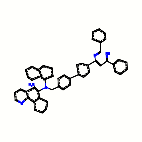 N=C(/C=C(\N=C\c1ccccc1)c1ccc(-c2ccc(CN(c3cccc4ccccc34)c3c(N)c4cccnc4c4ccccc34)cc2)cc1)c1ccccc1